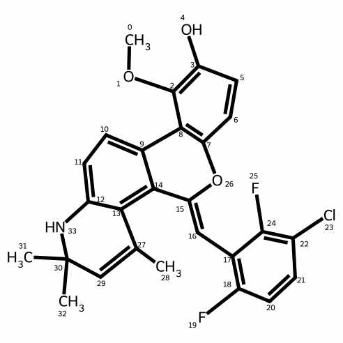 COc1c(O)ccc2c1-c1ccc3c(c1/C(=C/c1c(F)ccc(Cl)c1F)O2)C(C)=CC(C)(C)N3